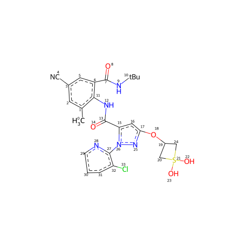 Cc1cc(C#N)cc(C(=O)NC(C)(C)C)c1NC(=O)c1cc(OC2CS(O)(O)C2)nn1-c1ncccc1Cl